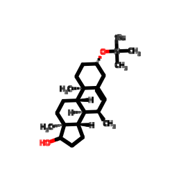 C[C@@H]1C=C2C[C@@H](O[Si](C)(C)C(C)(C)C)CC[C@]2(C)[C@H]2CC[C@]3(C)C(O)CC[C@H]3[C@H]12